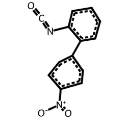 O=C=Nc1ccccc1-c1ccc([N+](=O)[O-])cc1